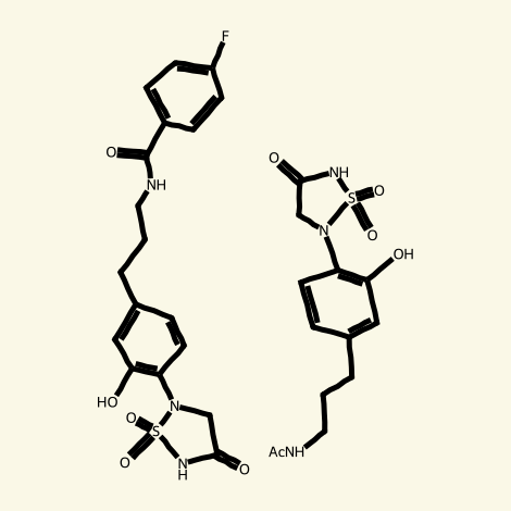 CC(=O)NCCCc1ccc(N2CC(=O)NS2(=O)=O)c(O)c1.O=C1CN(c2ccc(CCCNC(=O)c3ccc(F)cc3)cc2O)S(=O)(=O)N1